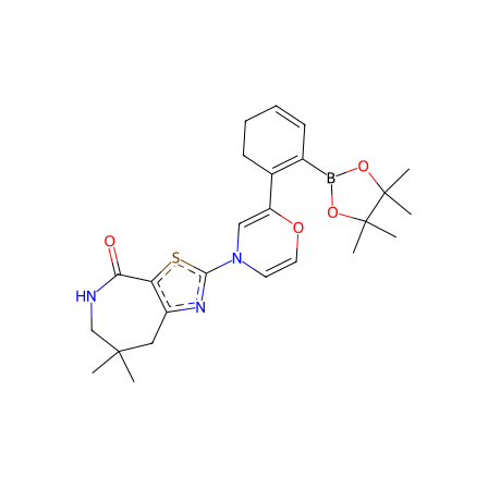 CC1(C)CNC(=O)c2sc(N3C=COC(C4=C(B5OC(C)(C)C(C)(C)O5)C=CCC4)=C3)nc2C1